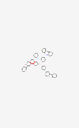 c1ccc(-c2ccccc2N2c3cc(-c4ccc5sc6ccccc6c5c4)ccc3B3c4ccc(-c5ccc6sc7ccccc7c6c5)cc4Oc4cc(-n5c6ccccc6c6ccccc65)cc2c43)cc1